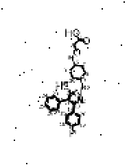 O=C(O)COC[C@H]1CC[C@@H](Cn2nc(-c3ccc(F)cc3)c(-c3ccccc3)c2S)CC1